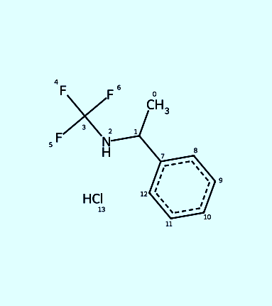 CC(NC(F)(F)F)c1ccccc1.Cl